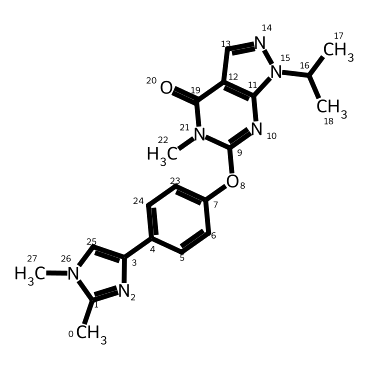 Cc1nc(-c2ccc(Oc3nc4c(cnn4C(C)C)c(=O)n3C)cc2)cn1C